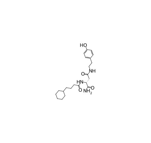 NC(=O)[C@@H](CC(=O)NCCc1ccc(O)cc1)NC(=O)CCCC1CCCCC1